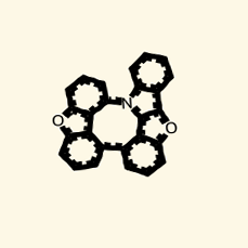 c1cc2oc3cccc4c3c2c(c1)c1cccc2oc3c5ccccc5n4c3c21